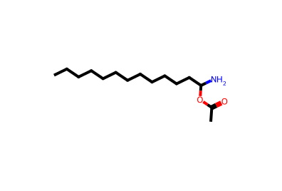 CCCCCCCCCCCCC(N)OC(C)=O